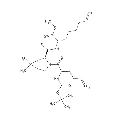 C=CCCCC[C@H](NC(=O)[C@@H]1C2C(CN1C(=O)C(CCC=C)NC(=O)OC(C)(C)C)C2(C)C)C(=O)OC